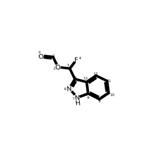 O=COC(F)c1n[nH]c2ccccc12